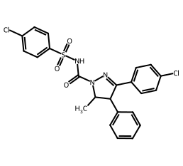 CC1C(c2ccccc2)C(c2ccc(Cl)cc2)=NN1C(=O)NS(=O)(=O)c1ccc(Cl)cc1